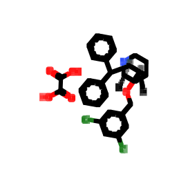 Clc1cc(Cl)cc(CO[C@H]2C3CCN(CC3)[C@@H]2C(c2ccccc2)c2ccccc2)c1.O=C(O)C(=O)O